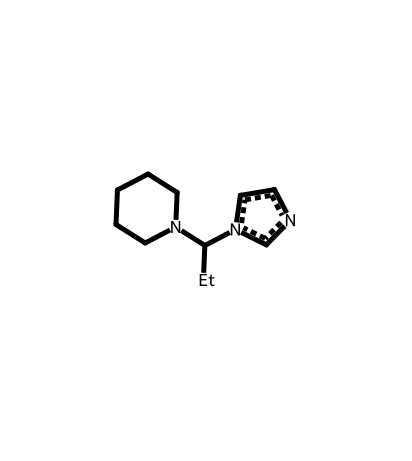 CCC(N1CCCCC1)n1ccnc1